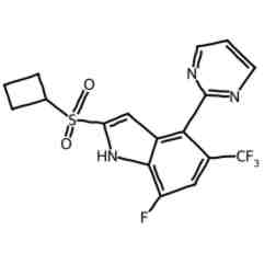 O=S(=O)(c1cc2c(-c3ncccn3)c(C(F)(F)F)cc(F)c2[nH]1)C1CCC1